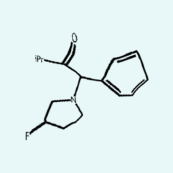 CC(C)C(=O)C(c1ccccc1)N1CCC(F)C1